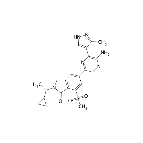 Cc1n[nH]cc1-c1nc(-c2cc3c(c(S(C)(=O)=O)c2)C(=O)N([C@@H](C)C2CC2)C3)cnc1N